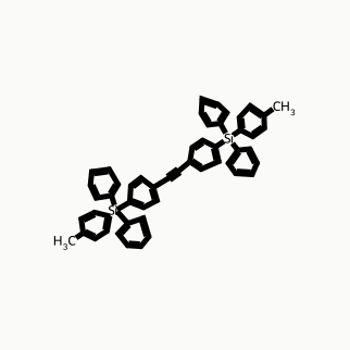 Cc1ccc([Si](c2ccccc2)(c2ccccc2)c2ccc(C#Cc3ccc([Si](c4ccccc4)(c4ccccc4)c4ccc(C)cc4)cc3)cc2)cc1